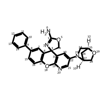 NC1=N[C@@]2(CO1)c1cc(-c3ccccc3)ccc1Oc1ncc(N3C[C@@H]4C[C@H]3CO4)cc12